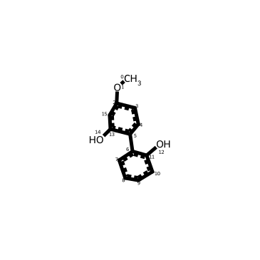 COc1ccc(-c2ccccc2O)c(O)c1